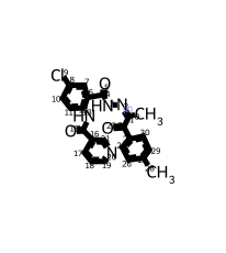 C/C(=N/NC(=O)c1cc(Cl)ccc1NC(=O)c1cccnc1)C(=O)c1ccc(C)cc1